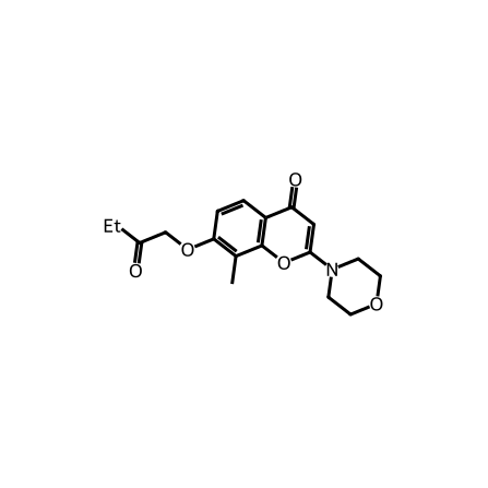 CCC(=O)COc1ccc2c(=O)cc(N3CCOCC3)oc2c1C